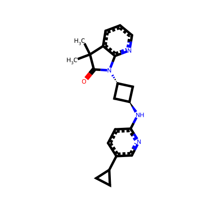 CC1(C)C(=O)N([C@H]2C[C@H](Nc3ccc(C4CC4)cn3)C2)c2ncccc21